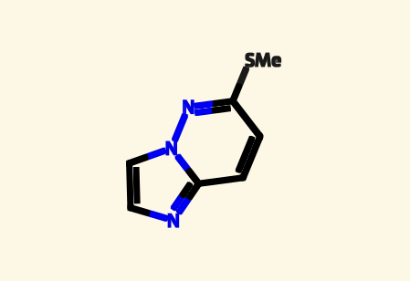 CSc1ccc2nccn2n1